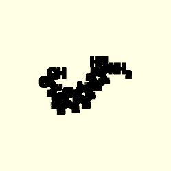 N=C(N)c1ccc(-c2ccc(CC3CCN(CCC(=O)O)C3=O)cc2)cc1